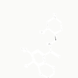 Nc1cc(C(=O)NC[C@@H]2CCNCC2O)c2c(c1Cl)OCCO2